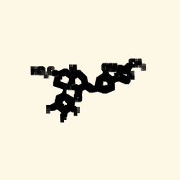 COc1cc(C=C2CC[C@@H]3CN(C(=O)O)C[C@@H](c4cc(F)c(F)c(F)c4)N3C2=O)ccc1-n1cnc(C)c1